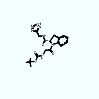 CC(C)(C)OC(=O)NCC(=O)N1c2ccccc2C[C@H]1C(=O)NCc1nn[nH]n1